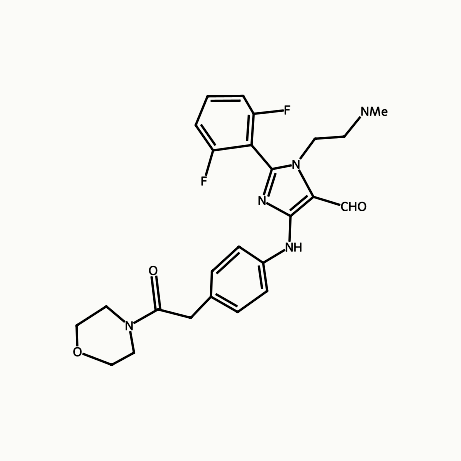 CNCCn1c(-c2c(F)cccc2F)nc(Nc2ccc(CC(=O)N3CCOCC3)cc2)c1C=O